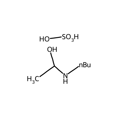 CCCCNC(C)O.O=S(=O)(O)O